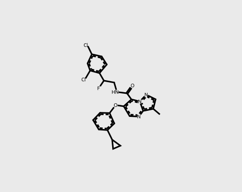 Cc1cnn2c(C(=O)NCC(F)c3ccc(Cl)cc3Cl)c(Oc3cccc(C4CC4)c3)cnc12